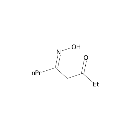 CCCC(CC(=O)CC)=NO